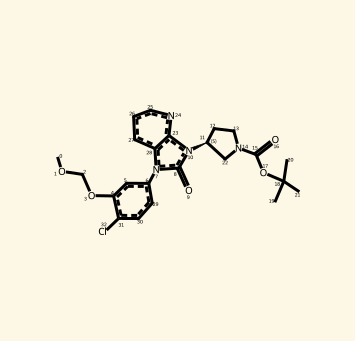 COCOc1cc(-n2c(=O)n([C@H]3CCN(C(=O)OC(C)(C)C)C3)c3ncccc32)ccc1Cl